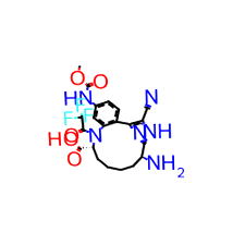 COC(=O)Nc1ccc2c(c1)N(C(=O)C(F)(F)F)[C@@H](C(=O)O)CCCC[C@H](N)c1nc-2c(C#N)[nH]1